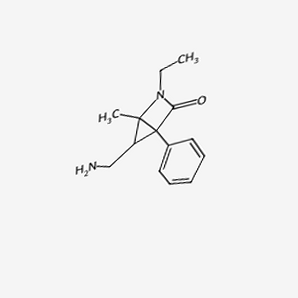 CCN1C(=O)C2(c3ccccc3)C(CN)C12C